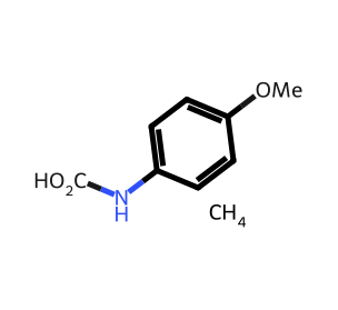 C.COc1ccc(NC(=O)O)cc1